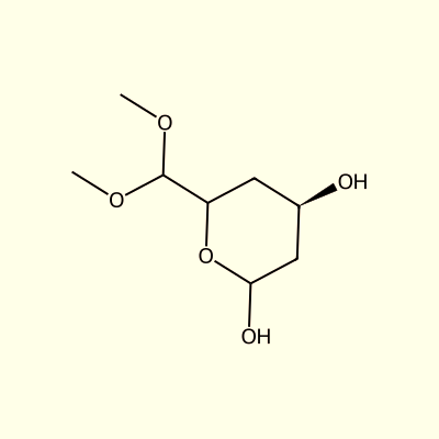 COC(OC)C1C[C@@H](O)CC(O)O1